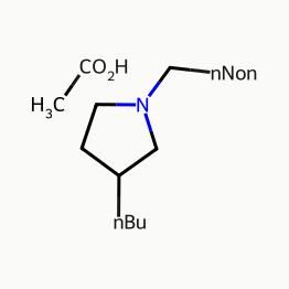 CC(=O)O.CCCCCCCCCCN1CCC(CCCC)C1